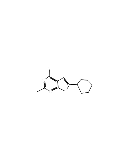 Cc1nc(Cl)c2cc(C3CCCCC3)sc2n1